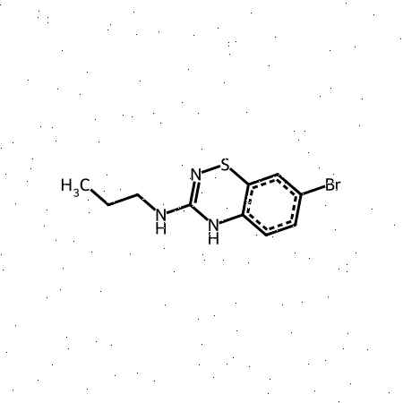 CCCNC1=NSc2cc(Br)ccc2N1